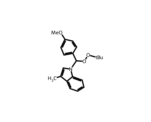 COc1ccc(C(OOC(C)(C)C)n2cc(C)c3ccccc32)cc1